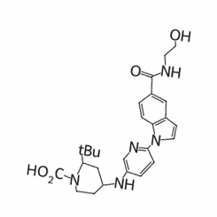 CC(C)(C)C1CC(Nc2ccc(-n3ccc4cc(C(=O)NCCO)ccc43)nc2)CCN1C(=O)O